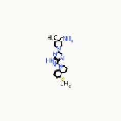 CSc1cccc2c1CCCN2c1n[nH]c2nc(N3CCC(C)(CN)CC3)cnc12